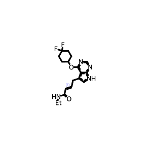 CCNC(=O)/C=C/Cc1c[nH]c2ncnc(OC3CCC(F)(F)CC3)c12